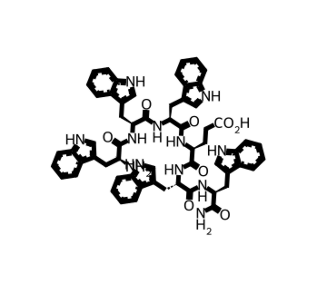 NC(=O)[C@H](Cc1c[nH]c2ccccc12)NC(=O)[C@H](Cc1c[nH]c2ccccc12)NC(=O)[C@H](CCC(=O)O)NC(=O)[C@H](Cc1c[nH]c2ccccc12)NC(=O)[C@H](Cc1c[nH]c2ccccc12)NC(=O)[C@@H](N)Cc1c[nH]c2ccccc12